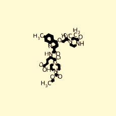 CCOC(=O)N1CCN(C(=O)C(CCC(=O)O)NC(=O)c2cc(OCC(=O)N3CCNC(=O)C3(C)C)c3ccc(C)cc3n2)CC1